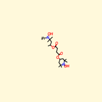 CC(CC(C)(C)N(O)C(C)C)OC(=O)CCC(=O)OC1CC(C)(C)N(O)C(C)(C)C1